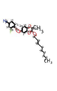 CCCCCCCCCOC(=O)C(C)Oc1ccc(Oc2ccc(C#N)cc2F)cc1